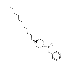 CCCCCCCCCCCCN1CCN(C(=O)Cc2ccccc2)CC1